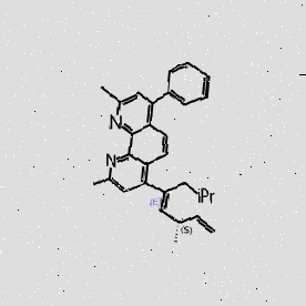 C=C[C@H](C)/C=C(\CC(C)C)c1cc(C)nc2c1ccc1c(-c3ccccc3)cc(C)nc12